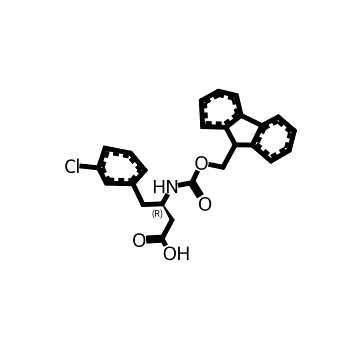 O=C(O)C[C@@H](Cc1cccc(Cl)c1)NC(=O)OCC1c2ccccc2-c2ccccc21